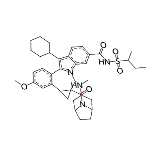 CCC(C)S(=O)(=O)NC(=O)c1ccc2c(C3CCCCC3)c3n(c2c1)CC1(C(=O)N2C4CCC2CC(NC)C4)CC1c1cc(OC)ccc1-3